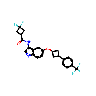 O=C(Nc1c[nH]c2ccc(OC3CC(c4ccc(C(F)(F)F)cc4)C3)cc12)C1CC(F)(F)C1